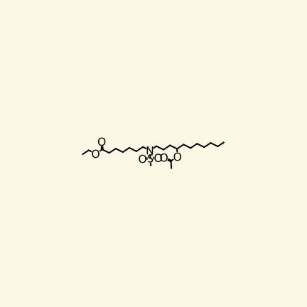 CCCCCCCC(CCCN(CCCCCCC(=O)OCC)S(C)(=O)=O)OC(C)=O